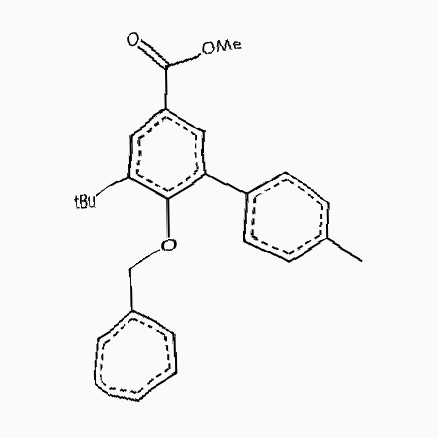 COC(=O)c1cc(-c2ccc(C)cc2)c(OCc2ccccc2)c(C(C)(C)C)c1